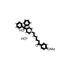 COc1ccc(C(=O)CCCCCN2CCC(C(O)(c3ccccc3)c3ccccc3)CC2)cc1.Cl